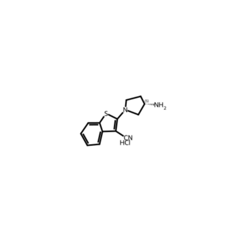 Cl.N#Cc1c(N2CC[C@H](N)C2)sc2ccccc12